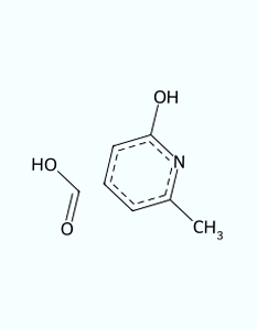 Cc1cccc(O)n1.O=CO